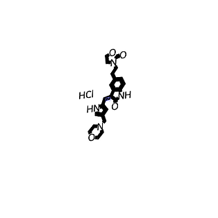 Cl.O=C1Nc2ccc(CCN3CCOC3=O)cc2/C1=C/c1cc(CN2CCOCC2)c[nH]1